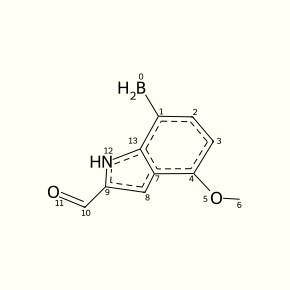 Bc1ccc(OC)c2cc(C=O)[nH]c12